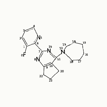 Fc1cccnc1-c1nc2c(c(N3CCCCCC3)n1)CCC2